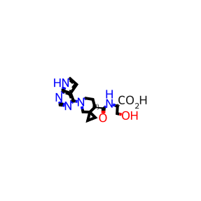 O=C(O)C(CO)NC(=O)[C@@H]1CCN(c2ncnc3[nH]ccc23)CC12CC2